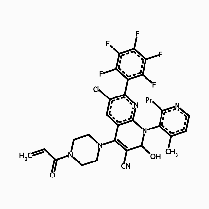 C=CC(=O)N1CCN(C2=C(C#N)C(O)N(c3c(C)ccnc3C(C)C)c3nc(-c4c(F)c(F)c(F)c(F)c4F)c(Cl)cc32)CC1